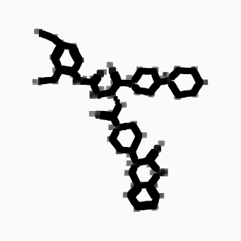 O=C(Nc1ccc(CI)cc1CI)N[C@@H](CC(=O)N1CCC(N2Cc3ccccc3NC2=O)CC1)C(=O)N1CCC(N2CCCCC2)CC1